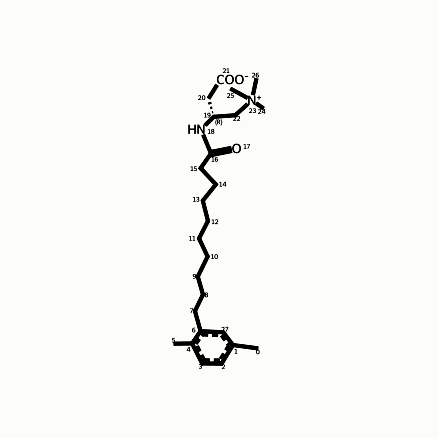 Cc1ccc(C)c(CCCCCCCCCC(=O)N[C@H](CC(=O)[O-])C[N+](C)(C)C)c1